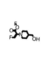 O=C(OF)C(=CF)N1CCC(CO)CC1